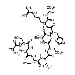 CC[C@H](C)[C@H](NC(=O)[C@H](CC(=O)O)NC(=O)[C@H](CC(=O)O)NC(=O)[C@H](CC(C)C)NC(=O)[C@@H](NC(=O)[C@H](CO)NC(=O)[C@H](C)N)C(C)C)C(=O)N[C@@H](Cc1c[nH]cn1)C(=O)N[C@@H](CCCNC(=N)N)C(=O)N[C@@H](C)C(=O)O